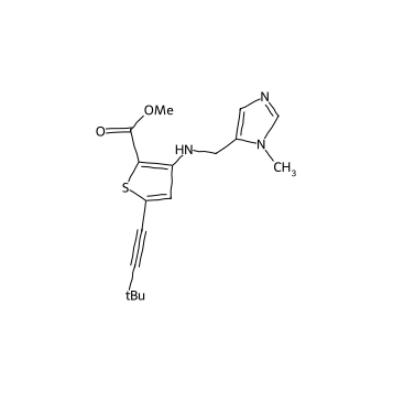 COC(=O)c1sc(C#CC(C)(C)C)cc1NCc1cncn1C